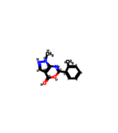 Cc1ccccc1-c1nc2c(cnn2C)c(=O)o1